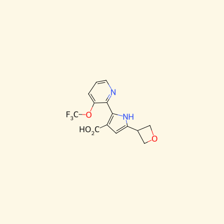 O=C(O)c1cc(C2COC2)[nH]c1-c1ncccc1OC(F)(F)F